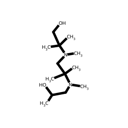 CC(O)CN(C)C(C)(C)CN(C)C(C)(C)CO